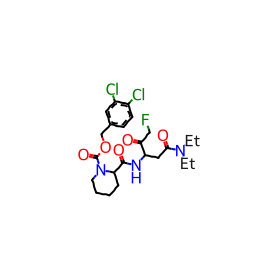 CCN(CC)C(=O)CC(NC(=O)C1CCCCN1C(=O)OCc1ccc(Cl)c(Cl)c1)C(=O)CF